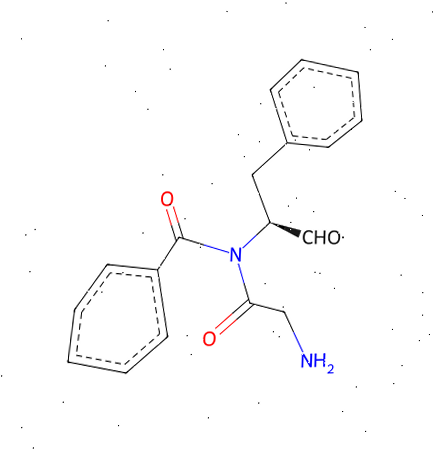 NCC(=O)N(C(=O)c1ccccc1)[C@H]([C]=O)Cc1ccccc1